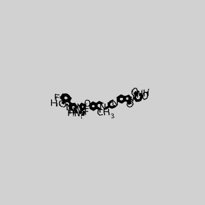 C[C@H]1c2ccc(O[C@H]3CN4c5cc(-c6cccc(F)c6O)nnc5NC[C@@]4(C(F)F)C3)cc2CCN1CC1CCN(c2ccc3c(c2)C(=O)N([C@H]2CCC(=O)NC2=O)C3)CC1